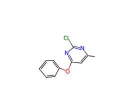 Cc1cc(Oc2ccccc2)nc(Cl)n1